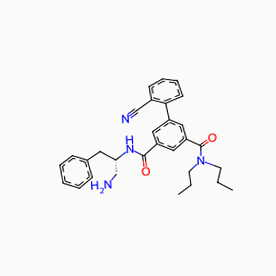 CCCN(CCC)C(=O)c1cc(C(=O)N[C@H](CN)Cc2ccccc2)cc(-c2ccccc2C#N)c1